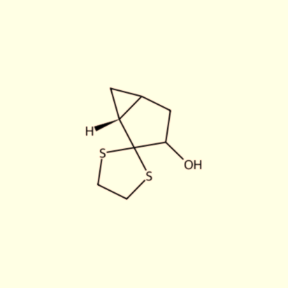 OC1CC2C[C@H]2C12SCCS2